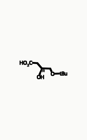 CC(C)(C)OC[C@@H](O)CC(=O)O